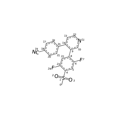 CS(=O)(=O)c1cc(F)c(-c2cnccc2-c2ccc(C#N)cc2)cc1F